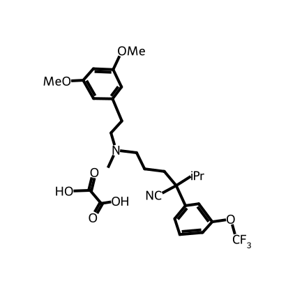 COc1cc(CCN(C)CCCC(C#N)(c2cccc(OC(F)(F)F)c2)C(C)C)cc(OC)c1.O=C(O)C(=O)O